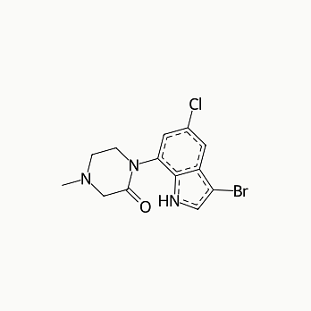 CN1CCN(c2cc(Cl)cc3c(Br)c[nH]c23)C(=O)C1